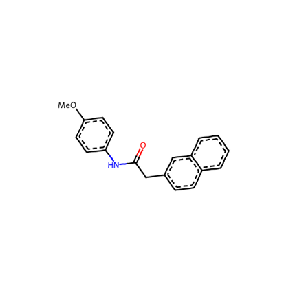 COc1ccc(NC(=O)Cc2ccc3ccccc3c2)cc1